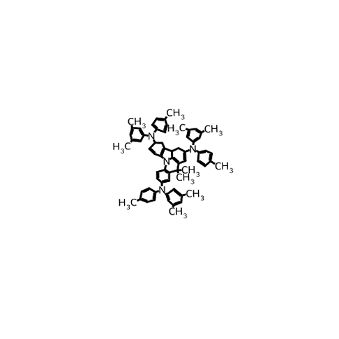 Cc1ccc(N(C2=CC3=C4C(C2)C2=C(C=CC(N(c5ccc(C)cc5)c5cc(C)cc(C)c5)C2)N4c2ccc(N(c4ccc(C)cc4)c4cc(C)cc(C)c4)cc2C3(C)C)c2cc(C)cc(C)c2)cc1